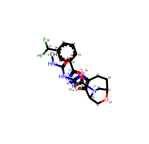 CNC(=O)Nc1nc2c(s1)C1COC(CC2)CN1c1nnc(-c2cccc(C(F)F)c2)o1